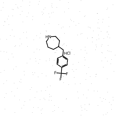 Cl.FC(F)(F)c1ccc(CC2CCCNCC2)cc1